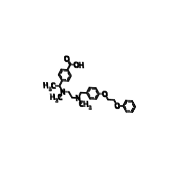 CC(c1ccc(C(=O)O)cc1)N(C)CCN(C)Cc1ccc(OCCOc2ccccc2)cc1